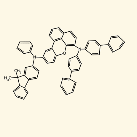 CC1(C)c2ccccc2-c2ccc(N(c3ccccc3)c3ccc4c(c3)-c3cccc5ccc(N(c6ccc(-c7ccccc7)cc6)c6ccc(-c7ccccc7)cc6)c(c35)O4)cc21